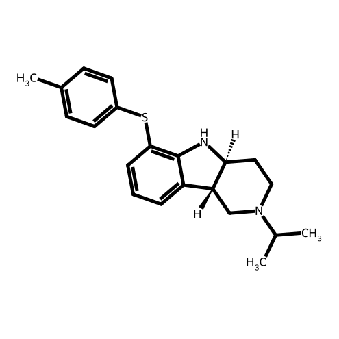 Cc1ccc(Sc2cccc3c2N[C@H]2CCN(C(C)C)C[C@H]32)cc1